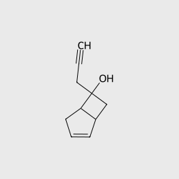 C#CCC1(O)CC2C=CCC21